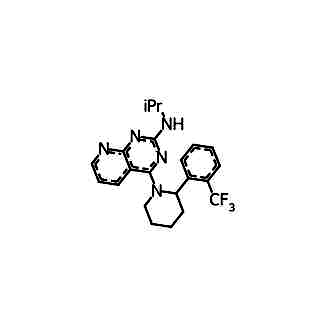 CC(C)Nc1nc(N2CCCCC2c2ccccc2C(F)(F)F)c2cccnc2n1